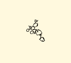 Cn1c(=O)c(C#N)c(N2CCC[C@@H](c3ccccc3)CC2)c2ccc(Br)cc21